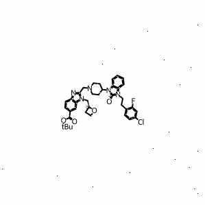 CC(C)(C)OC(=O)c1ccc2nc(CN3CCC(n4c(=O)n(CCc5ccc(Cl)cc5F)c5ccccc54)CC3)n(C[C@@H]3CCO3)c2c1